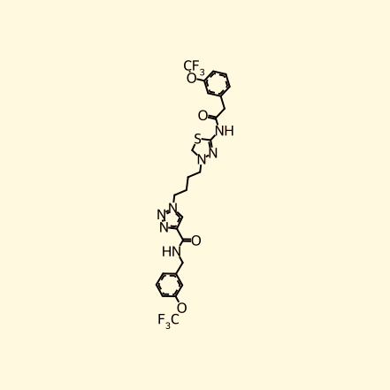 O=C(Cc1cccc(OC(F)(F)F)c1)NC1=NN(CCCCn2cc(C(=O)NCc3cccc(OC(F)(F)F)c3)nn2)CS1